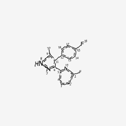 Cc1cccc(-c2n[nH]c(C)c2-c2ccc(F)cc2)n1